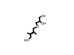 OCC(I)=C(I)COCC(O)CO